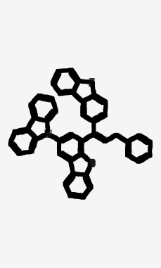 C(/Cc1ccccc1)=C(/c1ccc2sc3ccccc3c2c1)c1cc(-n2c3ccccc3c3ccccc32)cc2c1oc1ccccc12